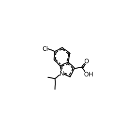 CC(C)n1cc(C(=O)O)c2ccc(Cl)cc21